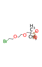 CC(C)(COCCOCCBr)[SH](=O)=O